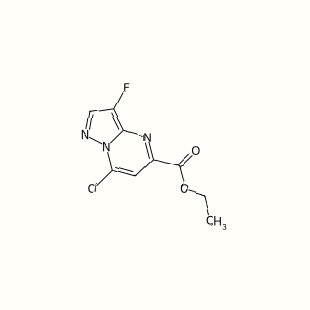 CCOC(=O)c1cc(Cl)n2ncc(F)c2n1